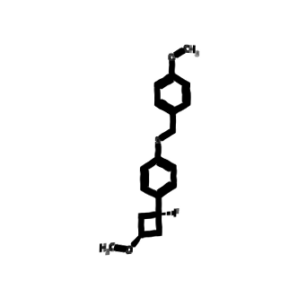 COc1ccc(CSc2ccc([C@]3(F)C[C@H](OC)C3)cc2)cc1